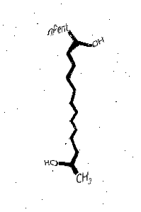 CCCCCC(O)CCCCCCCCCCC(C)O